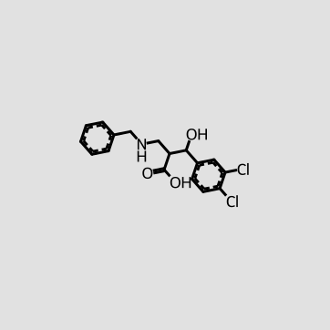 O=C(O)C(CNCc1ccccc1)C(O)c1ccc(Cl)c(Cl)c1